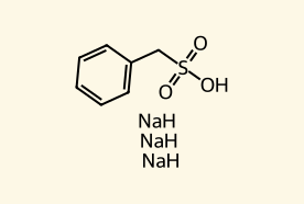 O=S(=O)(O)Cc1ccccc1.[NaH].[NaH].[NaH]